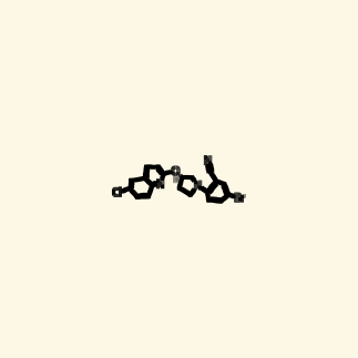 N#Cc1cc(Br)ccc1N1CC[C@H](Oc2ccc3cc(Cl)ccc3n2)C1